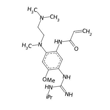 C=CC(=O)Nc1cc(NC(=N)NC(C)C)c(OC)cc1N(C)CCN(C)C